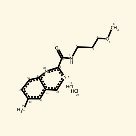 COCCCNC(=O)c1ncc2cc(C)ccc2n1.Cl.Cl